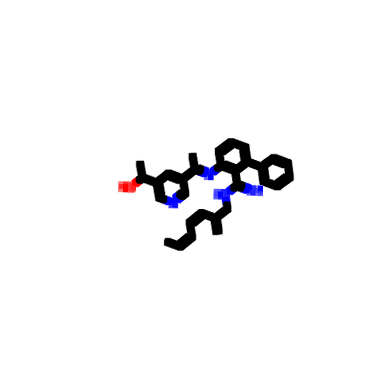 C=C(/C=C\C=C/C)CNC(=N)c1c(/N=C(\C)c2cncc(C(C)O)c2)cccc1-c1ccccc1